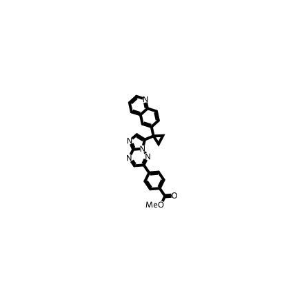 COC(=O)c1ccc(-c2cnc3ncc(C4(c5ccc6ncccc6c5)CC4)n3n2)cc1